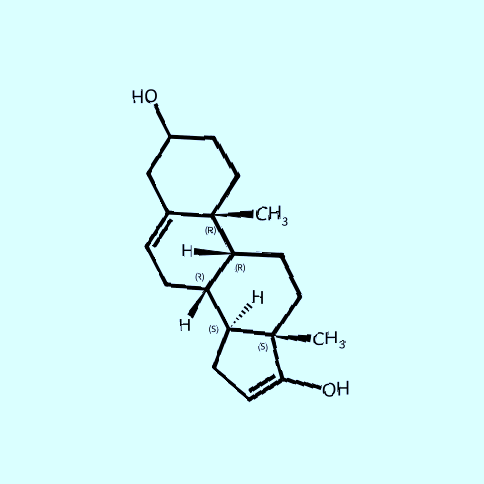 C[C@]12CCC(O)CC1=CC[C@@H]1[C@H]2CC[C@]2(C)C(O)=CC[C@@H]12